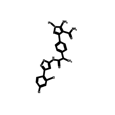 CC(C(=O)Nc1cc(-c2ccc(Cl)cc2Cl)no1)c1ccc(-c2nn(C(C)C)c(N)c2C(N)=O)cc1